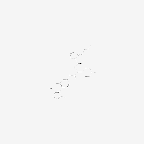 CCc1[nH]nc(C)c1-c1ccc(NC(=O)[C@@H](NC(=O)c2ccnn2CCCO)[C@H]2CC[C@H](C)CC2)nc1F